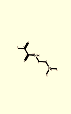 C=C(C)C(=C)NCCN(C)C